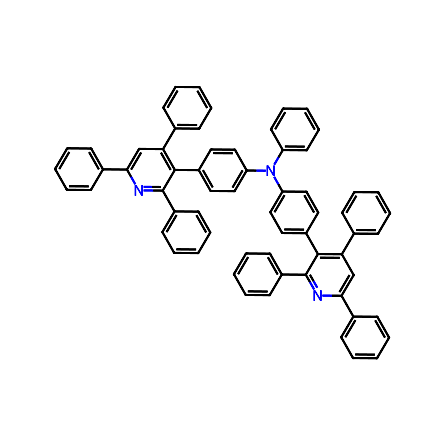 c1ccc(-c2cc(-c3ccccc3)c(-c3ccc(N(c4ccccc4)c4ccc(-c5c(-c6ccccc6)cc(-c6ccccc6)nc5-c5ccccc5)cc4)cc3)c(-c3ccccc3)n2)cc1